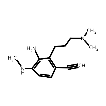 C#Cc1ccc(NC)c(N)c1CCCN(C)C